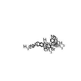 COc1cc2c(cc1Nc1ncc(Br)c(Nc3ccc4nccnc4c3P(C)C)n1)CCN(C1CN(C)C1)C2